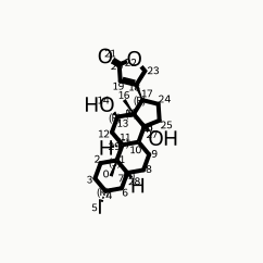 C[C@]12CC[C@@H](I)C[C@H]1CCC1[C@@H]2C[C@@H](O)[C@]2(C)[C@@H](C3=CC(=O)OC3)CC[C@]12O